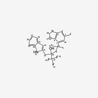 Cc1cc2c(c(C(C)(C)CC(O)(Cc3cc4ccccc4[nH]3)C(F)(F)F)c1)OCC2